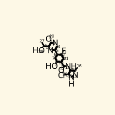 COc1ncc(-c2cc(O)c(C(=O)Nc3c(C)n[nH]c3Cl)cc2F)nc1C(C)O